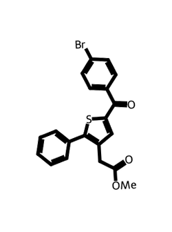 COC(=O)Cc1cc(C(=O)c2ccc(Br)cc2)sc1-c1ccccc1